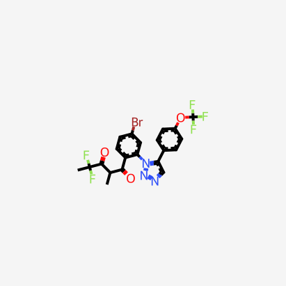 CC(C(=O)c1ccc(Br)cc1-n1nncc1-c1ccc(OC(F)(F)F)cc1)C(=O)C(C)(F)F